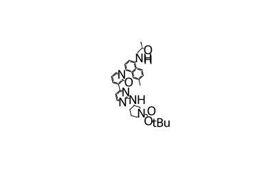 Cc1ccc2c(NC[C@@H](C)O)cccc2c1Oc1ncccc1-c1ccnc(N[C@H]2CCCN(C(=O)OC(C)(C)C)C2)n1